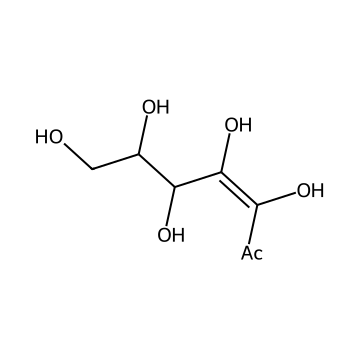 CC(=O)/C(O)=C(/O)C(O)C(O)CO